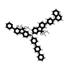 CC1(C)c2cc(-c3ccccc3)ccc2-c2ccc(N(c3ccc(-c4ccc(-c5ccccc5)cc4)cc3)c3ccc4c(c3)C(C)(C)c3cc(-c5ccc(-c6cccc7ccccc67)cc5)ccc3-4)cc21